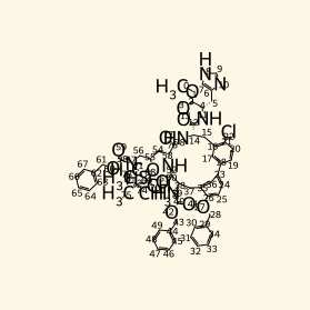 COC(=O)[C@H](Cc1c[nH]cn1)NC(=O)[C@@H]1Cc2cc(ccc2Cl)-c2ccc(OCc3ccccc3)c(c2)C[C@H](NC(=O)OCc2ccccc2)C(=O)N[C@@H](C[C@H](CNC(=O)OCc2ccccc2)O[Si](C)(C)C(C)(C)C)C(=O)N1